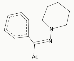 CC(=O)C(=NN1CCCCC1)c1ccccc1